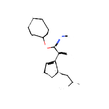 C=C(C1=CCC[C@@H]1C[C@@H](CC)OC)/C(=N\C)OC1CCCCC1